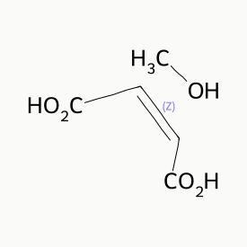 CO.O=C(O)/C=C\C(=O)O